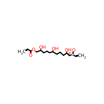 C=CC(=O)OCC(O)CCCC(O)CCCC(O)[CH2][Co](=[O])[CH]=C